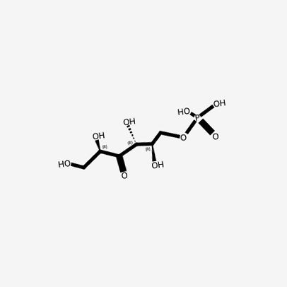 O=C([C@H](O)CO)[C@H](O)[C@H](O)COP(=O)(O)O